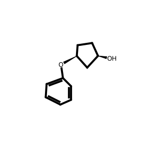 O[C@@H]1CC[C@H](Oc2ccccc2)C1